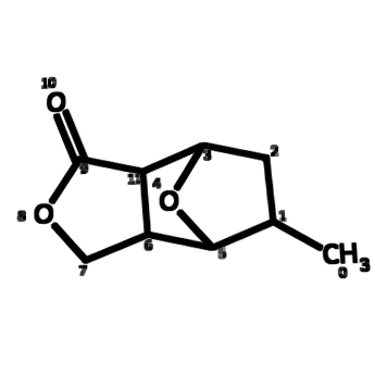 CC1CC2OC1C1COC(=O)C21